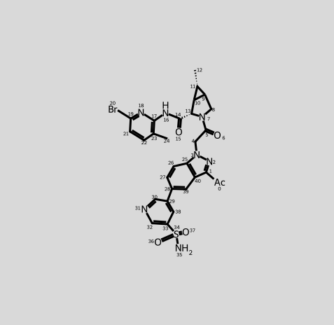 CC(=O)c1nn(CC(=O)N2CC3C([C@@H]3C)[C@H]2C(=O)Nc2nc(Br)ccc2C)c2ccc(-c3cncc(S(N)(=O)=O)c3)cc12